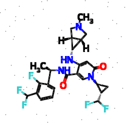 C[C@@H](NC(=O)c1cn([C@H]2C[C@@H]2C(F)F)c(=O)cc1N[C@@H]1[C@@H]2CN(C)C[C@@H]21)c1cccc(C(F)F)c1F